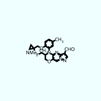 CNC1(COc2ccc(C)cc2N2c3nc4c(C=O)cnn4cc3OCC2C(C)F)CC1